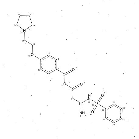 N[C@H](CC(=O)OC(=O)c1ccc(OCCN2CCCC2)cc1)NS(=O)(=O)c1ccccc1